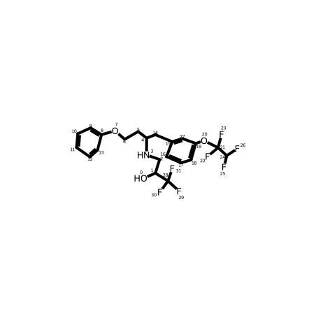 OC(CNC(CCOc1ccccc1)Cc1cccc(OC(F)(F)C(F)F)c1)C(F)(F)F